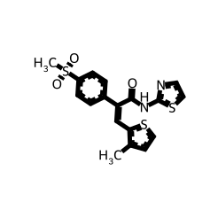 Cc1ccsc1C=C(C(=O)Nc1nccs1)c1ccc(S(C)(=O)=O)cc1